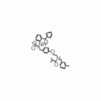 COC(=O)[C@H](Cc1ccc(OCCN(Cc2cccc(C)c2)C(=O)C(C)C)cc1)Nc1ccccc1C(=O)c1ccccc1